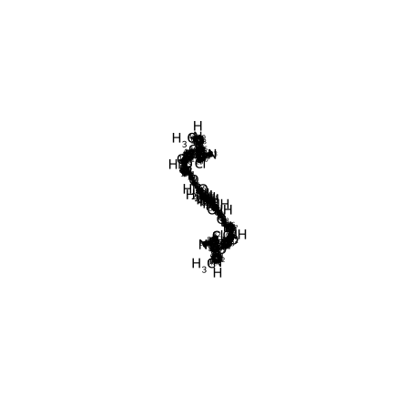 [2H]C([2H])(NC(=O)NCCOCCN1CC[C@H](NS(=O)(=O)c2ccc(O[C@H]3c4cc(Cl)cc(C#N)c4C[C@@H]3N3CCN[C@H](C)C3)cc2)C1)C([2H])([2H])C([2H])([2H])C([2H])([2H])NC(=O)NCCOCCN1CC[C@H](NS(=O)(=O)c2ccc(O[C@H]3c4cc(Cl)cc(C#N)c4C[C@@H]3N3CCN[C@H](C)C3)cc2)C1